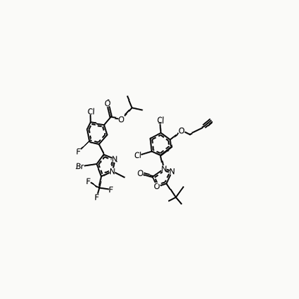 C#CCOc1cc(-n2nc(C(C)(C)C)oc2=O)c(Cl)cc1Cl.CC(C)OC(=O)c1cc(-c2nn(C)c(C(F)(F)F)c2Br)c(F)cc1Cl